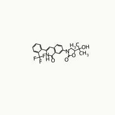 CC(C)(O)C1CN(c2ccc3cc(-c4ccccc4C(F)(F)F)[nH]c(=O)c3c2)C(=O)O1